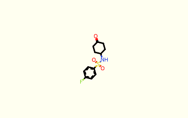 O=C1CCC(NS(=O)(=O)c2ccc(F)cc2)CC1